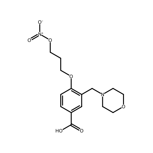 O=C(O)c1ccc(OCCCO[N+](=O)[O-])c(CN2CCOCC2)c1